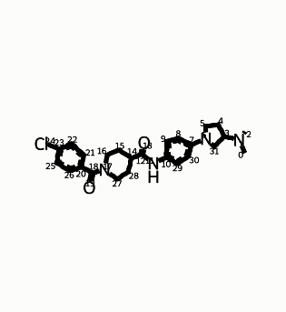 CN(C)C1CCN(c2ccc(NC(=O)C3CCN(C(=O)c4ccc(Cl)cc4)CC3)cc2)C1